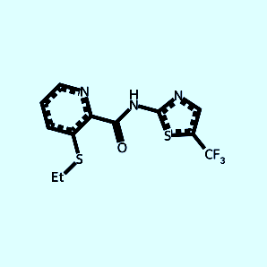 CCSc1cccnc1C(=O)Nc1ncc(C(F)(F)F)s1